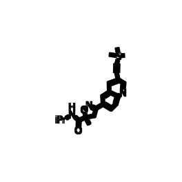 CC(C)NC(=O)C1(C)CC(c2ccc3ncc(C#CS(C)(C)C)cc3c2)=NO1